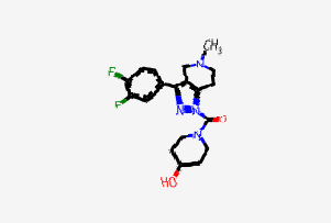 CN1CCc2c(c(-c3ccc(F)c(F)c3)nn2C(=O)N2CCC(O)CC2)C1